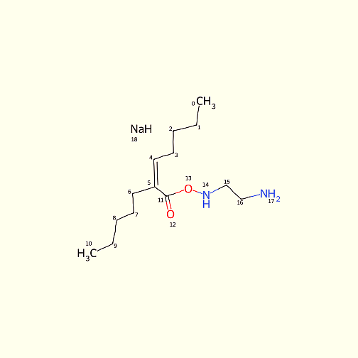 CCCCC=C(CCCCC)C(=O)ONCCN.[NaH]